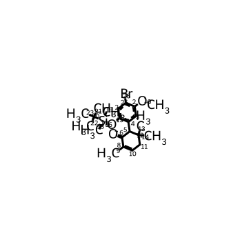 COc1cc(C2C(=O)C(C)=CCC2(C)C)c(O[Si](C)(C)C(C)(C)C)cc1Br